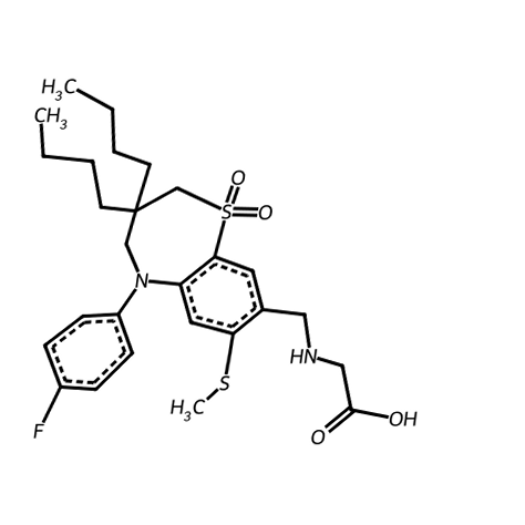 CCCCC1(CCCC)CN(c2ccc(F)cc2)c2cc(SC)c(CNCC(=O)O)cc2S(=O)(=O)C1